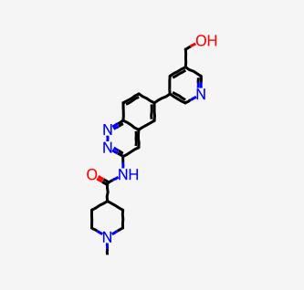 CN1CCC(C(=O)Nc2cc3cc(-c4cncc(CO)c4)ccc3nn2)CC1